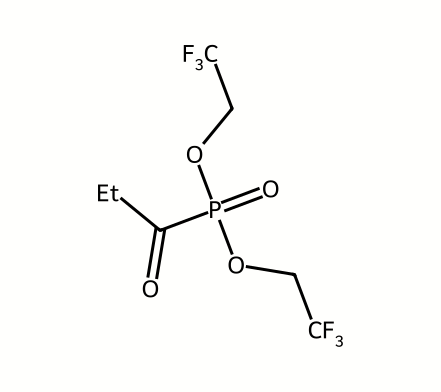 CCC(=O)P(=O)(OCC(F)(F)F)OCC(F)(F)F